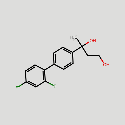 CC(O)(CCO)c1ccc(-c2ccc(F)cc2F)cc1